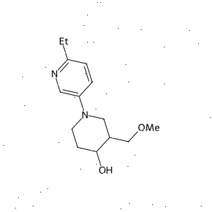 CCc1ccc(N2CCC(O)C(COC)C2)cn1